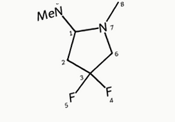 CNC1CC(F)(F)CN1C